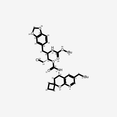 CC(C)(C)Cc1cnc2c(c1)[C@@H](NC(=O)O[C@H](CCl)C(Cc1ccc3c(c1)OCO3)NC(=O)OC(C)(C)C)CC1(CCC1)O2